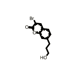 O=c1oc2cc(CCCO)ccc2cc1Br